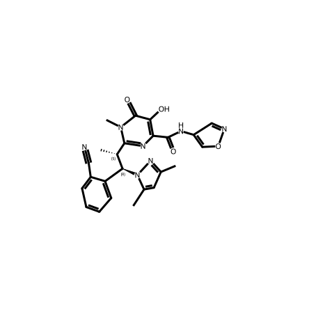 Cc1cc(C)n([C@@H](c2ccccc2C#N)[C@H](C)c2nc(C(=O)Nc3cnoc3)c(O)c(=O)n2C)n1